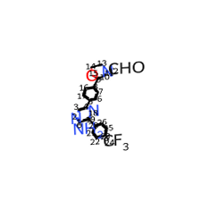 Nc1ncc(-c2ccc(C3CN(C=O)CCO3)cc2)nc1-c1ccc(C(F)(F)F)cc1